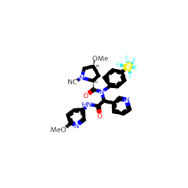 COc1ccc(NC(=O)C(c2cccnc2)N(C(=O)[C@H]2C[C@@H](OC)CN2C#N)c2ccc(S(F)(F)(F)(F)F)cc2)cn1